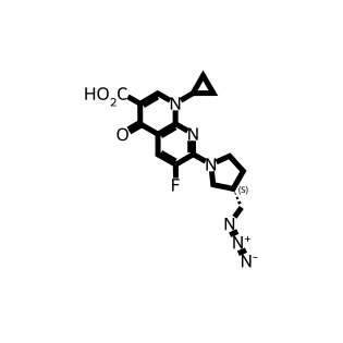 [N-]=[N+]=NC[C@H]1CCN(c2nc3c(cc2F)c(=O)c(C(=O)O)cn3C2CC2)C1